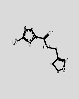 Cc1nc(C(=O)NCC2=NOCC2)cs1